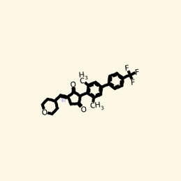 Cc1cc(-c2ccc(C(F)(F)F)cc2)cc(C)c1C1C(=O)C/C(=C\C2CCOCC2)C1=O